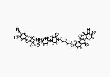 CC1(C)C(NC(=O)c2ccc(N3CCN(CCCCCOc4ccc5c(c4)C(=O)N(C4CCC(=O)NC4=O)C5=O)C(=O)C3)nc2)C(C)(C)C1Oc1ccc(C#N)c(Cl)c1